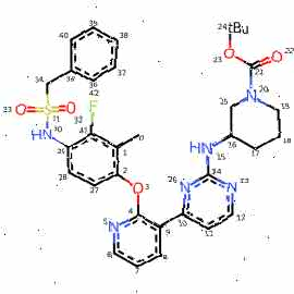 Cc1c(Oc2ncccc2-c2ccnc(NC3CCCN(C(=O)OC(C)(C)C)C3)n2)ccc(NS(=O)(=O)Cc2ccccc2)c1F